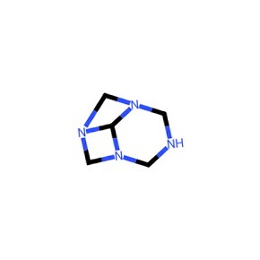 C1NCN2CN3CN1C23